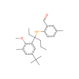 CCCC(CC)(Pc1ccc(C)cc1C=O)c1cc(C(C)(C)C)cc(C)c1OC